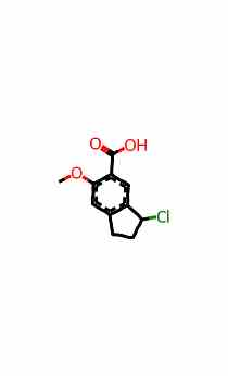 COc1cc2c(cc1C(=O)O)C(Cl)CC2